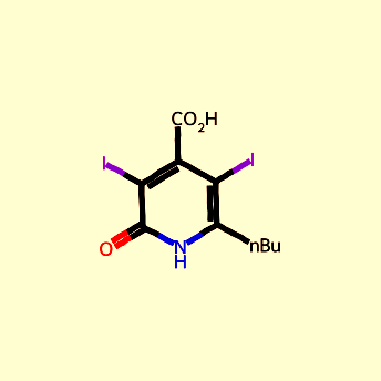 CCCCc1[nH]c(=O)c(I)c(C(=O)O)c1I